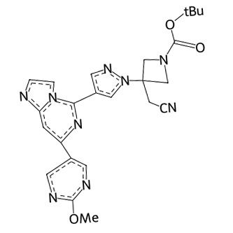 COc1ncc(-c2cc3nccn3c(-c3cnn(C4(CC#N)CN(C(=O)OC(C)(C)C)C4)c3)n2)cn1